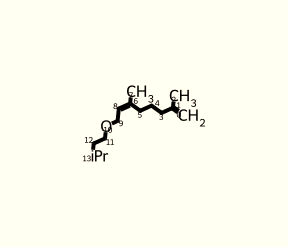 C=C(C)CCCC(C)=CCOCCC(C)C